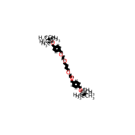 CC(C)(C)[Si](C)(C)OCc1ccc(COCCOC/C=C/COCCOCc2ccc(CO[Si](C)(C)C(C)(C)C)cc2)cc1